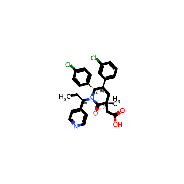 CC[C@H](c1ccncc1)N1C(=O)[C@@](C)(CC(=O)O)C[C@H](c2cccc(Cl)c2)[C@H]1c1ccc(Cl)cc1